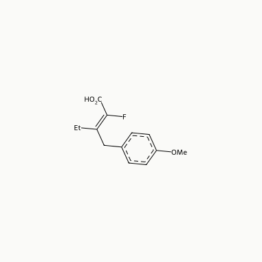 CCC(Cc1ccc(OC)cc1)=C(F)C(=O)O